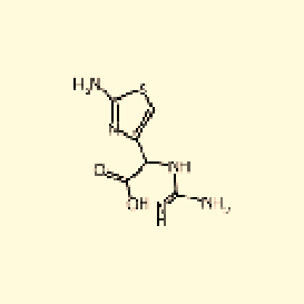 N=C(N)NC(C(=O)O)c1csc(N)n1